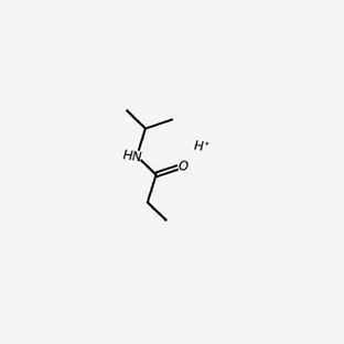 CCC(=O)NC(C)C.[H+]